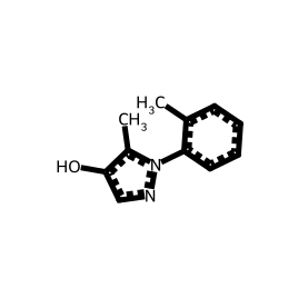 Cc1ccccc1-n1ncc(O)c1C